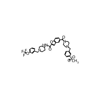 CS(=O)(=O)c1cccc(CN2CCN(C(=O)c3ccc4oc(C(=O)NC5CCN(Cc6cccc(OC(F)(F)F)c6)CC5)cc4c3)CC2)c1